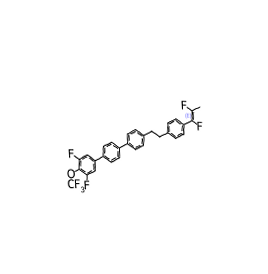 C/C(F)=C(\F)c1ccc(CCc2ccc(-c3ccc(-c4cc(F)c(OC(F)(F)F)c(F)c4)cc3)cc2)cc1